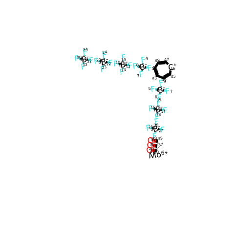 F[B-](F)(F)F.F[B-](F)(F)F.F[B-](F)(F)F.F[B-](F)(F)F.F[B-](F)(F)F.F[B-](F)(F)F.F[B-](F)(F)F.[C]=O.[C]=O.[C]=O.[Mo+6].c1ccc[cH+]cc1